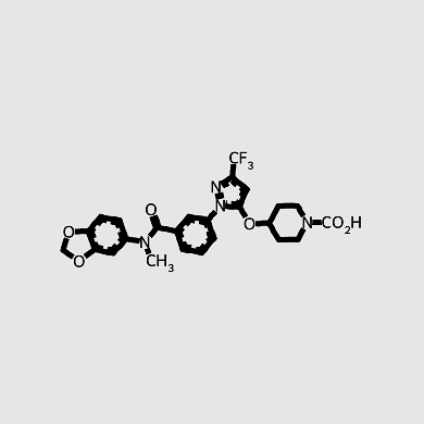 CN(C(=O)c1cccc(-n2nc(C(F)(F)F)cc2OC2CCN(C(=O)O)CC2)c1)c1ccc2c(c1)OCO2